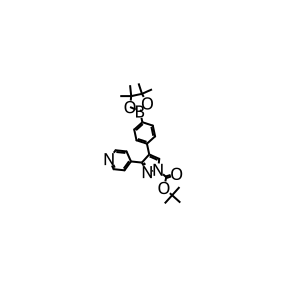 CC(C)(C)OC(=O)n1cc(-c2ccc(B3OC(C)(C)C(C)(C)O3)cc2)c(-c2ccncc2)n1